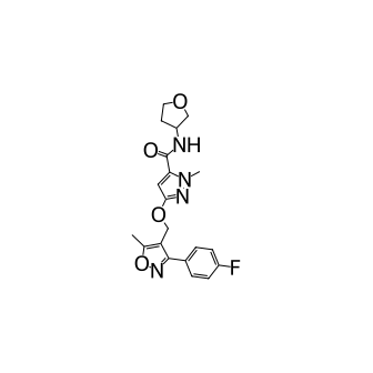 Cc1onc(-c2ccc(F)cc2)c1COc1cc(C(=O)NC2CCOC2)n(C)n1